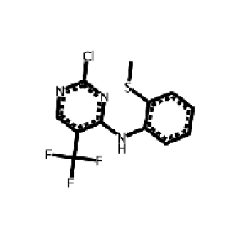 CSc1ccccc1Nc1nc(Cl)ncc1C(F)(F)F